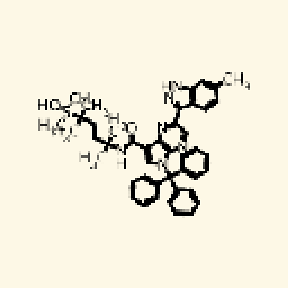 Cc1ccc2c(-c3cnc4c(n3)c(C(=O)NC(C)(C)CCC(C)(C)[Si](C)(C)O)cn4C(c3ccccc3)(c3ccccc3)c3ccccc3)n[nH]c2c1